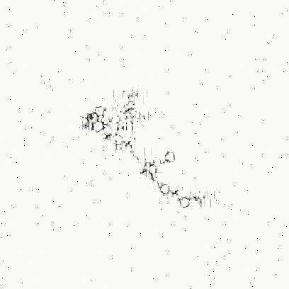 COc1ccc2c3c1O[C@H]1C(OC(=O)N4CCC(C(=O)NCCCC[C@H](NC(=O)OCc5ccccc5)C(=O)NCCOc5ccc(C(=O)Oc6cccc(NC(=N)N)c6)cc5)CC4CNC(=O)[C@@H](CCCNC(=N)N)NC(=O)CNC(C)=O)=CC[C@H]4[C@@H]5C(C)C5(C2)C[C@]314